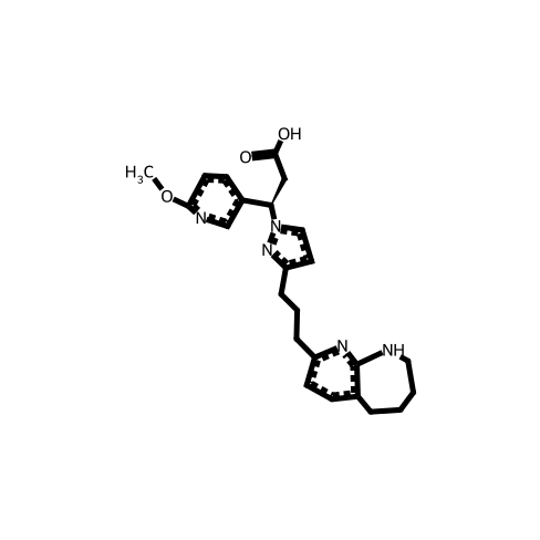 COc1ccc([C@@H](CC(=O)O)n2ccc(CCCc3ccc4c(n3)NCCCC4)n2)cn1